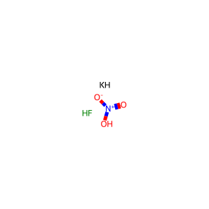 F.O=[N+]([O-])O.[KH]